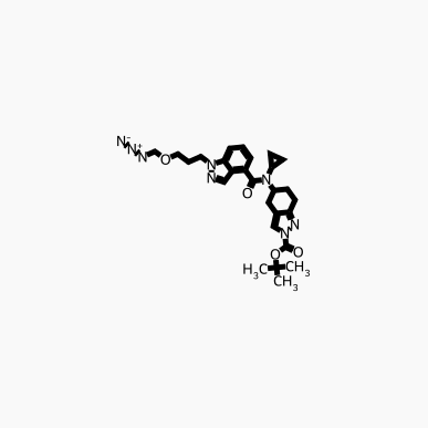 CC(C)(C)OC(=O)n1cc2c(n1)CCC(N(C(=O)c1cccc3c1cnn3CCCOCN=[N+]=[N-])C1CC1)C2